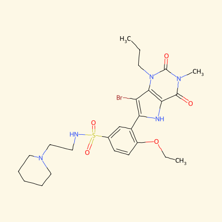 CCCn1c(=O)n(C)c(=O)c2[nH]c(-c3cc(S(=O)(=O)NCCN4CCCCC4)ccc3OCC)c(Br)c21